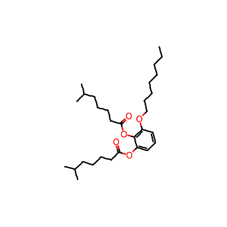 CCCCCCCCOc1cccc(OC(=O)CCCCC(C)C)c1OC(=O)CCCCC(C)C